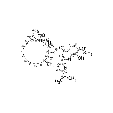 COc1ccc2c(OC3CC4C(=O)N(C)CCCCCC/C=C\[C@@H]5C[C@@]5(C(=O)O)NC(=O)[C@@H]4C3)cc(-c3nc(C(C)C)cs3)nc2c1O